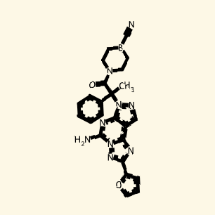 CC(C(=O)N1CCB(C#N)CC1)(c1ccccc1)n1ncc2c1nc(N)n1nc(-c3ccco3)nc21